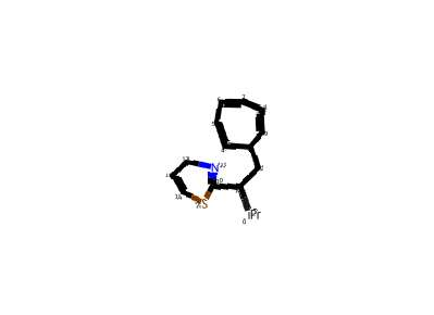 CC(C)C(CC1C=CC=CC=C1)C1=NCC=CS1